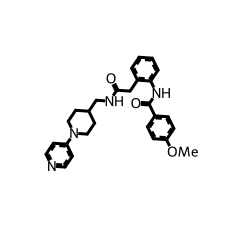 COc1ccc(C(=O)Nc2ccccc2CC(=O)NCC2CCN(c3ccncc3)CC2)cc1